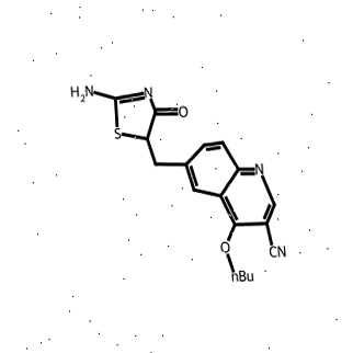 CCCCOc1c(C#N)cnc2ccc(CC3SC(N)=NC3=O)cc12